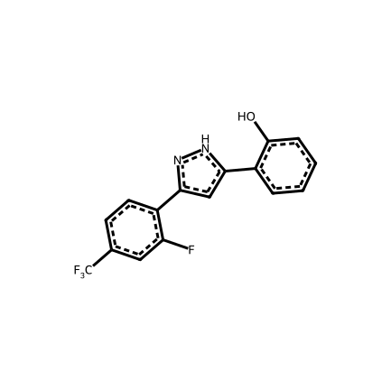 Oc1ccccc1-c1cc(-c2ccc(C(F)(F)F)cc2F)n[nH]1